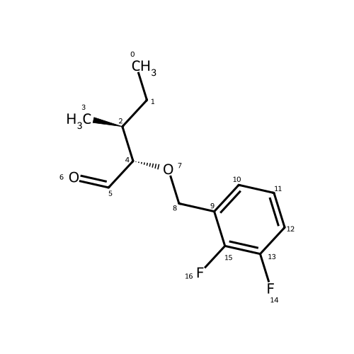 CC[C@H](C)[C@@H](C=O)OCc1cccc(F)c1F